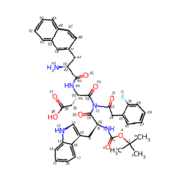 CC(C)(C)OC(=O)N[C@@H](Cc1c[nH]c2ccccc12)C(=O)N(C(=O)Cc1ccccc1F)C(=O)[C@H](CC(=O)O)NC(=O)[C@@H](N)Cc1ccc2ccccc2c1